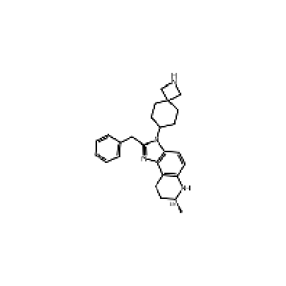 C[C@H]1CCc2c(ccc3c2nc(Cc2ccccc2)n3C2CCC3(CC2)CNC3)N1